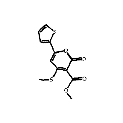 COC(=O)c1c(SC)cc(-c2cccs2)oc1=O